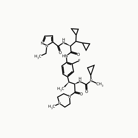 CCn1nccc1C(=O)N[C@H](C(=O)Nc1ccc([C@H](C)[C@@H](NC(=O)N(C)C2CC2)C(=O)N2CCN(C)CC2)cc1F)C(C1CC1)C1CC1